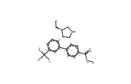 CC[C@H]1CNC[C@@H]1c1ccc(C(F)(F)F)cc1-c1ccc(C(=O)OC)cc1